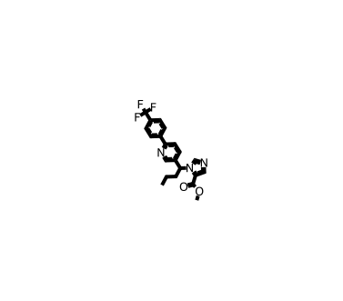 CCCC(c1ccc(-c2ccc(C(F)(F)F)cc2)nc1)n1cncc1C(=O)OC